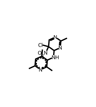 CC1=NC(Nc2c(C)cc(C)nc2C)C(Cl)([N+](=O)[O-])C=N1